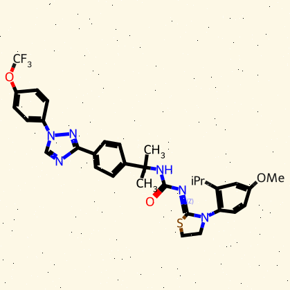 COc1ccc(N2CCS/C2=N\C(=O)NC(C)(C)c2ccc(-c3ncn(-c4ccc(OC(F)(F)F)cc4)n3)cc2)c(C(C)C)c1